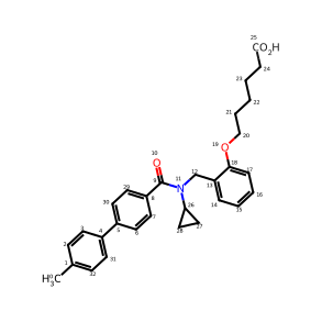 Cc1ccc(-c2ccc(C(=O)N(Cc3ccccc3OCCCCCC(=O)O)C3CC3)cc2)cc1